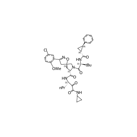 CCC[C@H](NC(=O)[C@@H]1C[C@]2(CC(c3cc(Cl)ccc3OC)=NO2)CN1C(=O)[C@@H](NC(=O)[C@@H]1C[C@H]1c1ccccc1)C(C)(C)C)C(=O)C(=O)NC1CC1